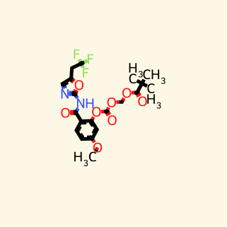 COc1ccc(C(=O)Nc2ncc(CC(F)(F)F)o2)c(OC(=O)OCOC(=O)C(C)(C)C)c1